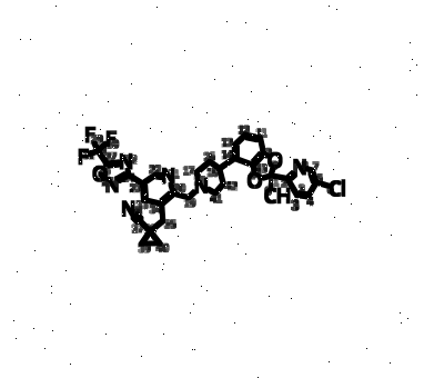 C[C@]1(c2ccc(Cl)cn2)Oc2cccc(C3CCN(Cc4ncc(-c5noc(C(F)(F)F)n5)cc4CC4(C#N)CC4)CC3)c2O1